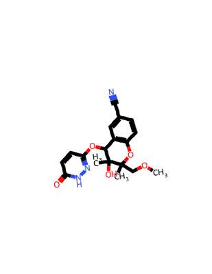 COCC1(C)Oc2ccc(C#N)cc2C(Oc2ccc(=O)[nH]n2)C1(C)O